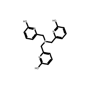 Oc1cccc(CN(Cc2cccc(O)n2)Cc2cccc(O)n2)n1